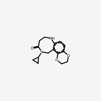 O=C1CCNc2ccc3c(c2CN1C1CC1)OCCO3